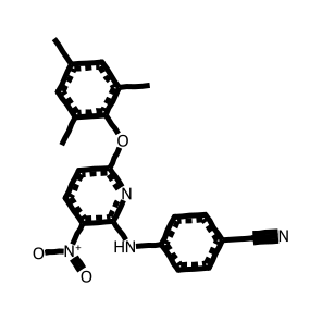 Cc1cc(C)c(Oc2ccc([N+](=O)[O-])c(Nc3ccc(C#N)cc3)n2)c(C)c1